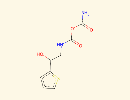 NC(=O)OC(=O)NCC(O)c1cccs1